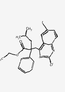 CCOC(=O)C(CC(C)C)(c1ccccc1)c1nc(Cl)nc2ccc(I)cc12